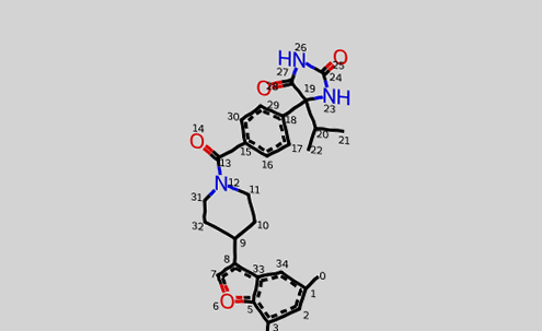 Cc1cc(C)c2occ(C3CCN(C(=O)c4ccc(C5(C(C)C)NC(=O)NC5=O)cc4)CC3)c2c1